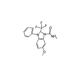 COc1ccc2c(c1)N(C(N)=O)C(C(F)(F)F)N2c1cc[c]cc1